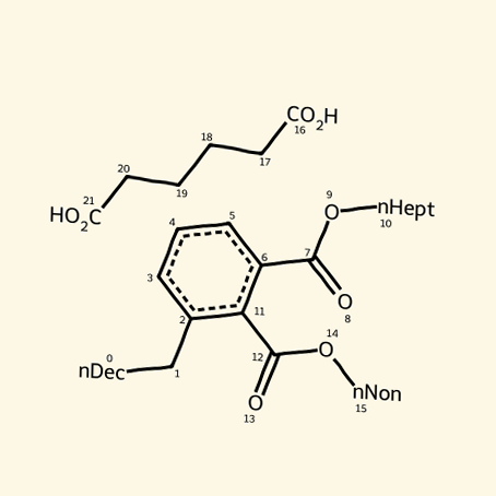 CCCCCCCCCCCc1cccc(C(=O)OCCCCCCC)c1C(=O)OCCCCCCCCC.O=C(O)CCCCC(=O)O